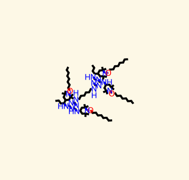 CCCCCCCCON1C(C)(C)CC(Nc2nc(NCCCCCCNc3nc(NC4CC(C)(C)N(OCCCCCCCC)C(C)(C)C4)nc(NC(CCC)C4CC(C)(C)N(OCCCCCCCC)C(C)(C)C4)n3)nc(NC(CCC)C3CC(C)(C)N(OCCCCCCCC)C(C)(C)C3)n2)CC1(C)C